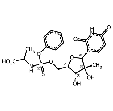 CC(N[P@](=S)(OC[C@H]1O[C@@H](n2ccc(=O)[nH]c2=O)[C@](C)(O)[C@@H]1O)Oc1ccccc1)C(=O)O